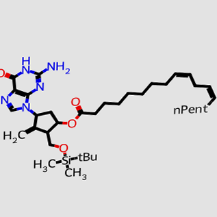 C=C1C(CO[Si](C)(C)C(C)(C)C)C(OC(=O)CCCCCCC/C=C\C/C=C\CCCCC)CC1n1cnc2c(=O)[nH]c(N)nc21